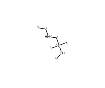 CCNC[Si](C)(C)OC